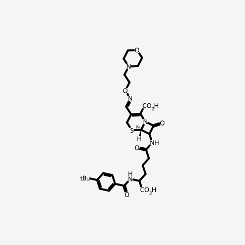 CC(C)(C)c1ccc(C(=O)NC(CCCC(=O)NC2C(=O)N3C(C(=O)O)=C(C=NOCCN4CCOCC4)CS[C@@H]23)C(=O)O)cc1